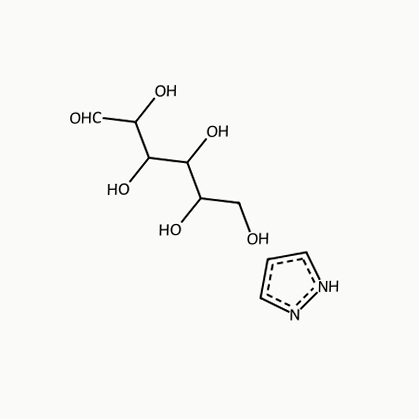 O=CC(O)C(O)C(O)C(O)CO.c1cn[nH]c1